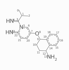 CC(C)C(=N)n1cc(OC2CCC(N)c3ccccc32)ccc1=N